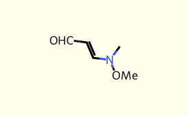 CON(C)C=CC=O